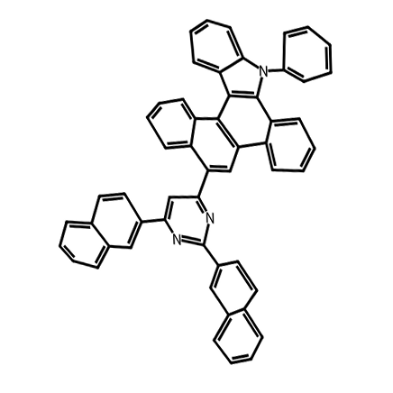 c1ccc(-n2c3ccccc3c3c4c5ccccc5c(-c5cc(-c6ccc7ccccc7c6)nc(-c6ccc7ccccc7c6)n5)cc4c4ccccc4c32)cc1